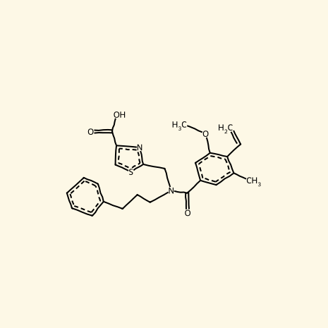 C=Cc1c(C)cc(C(=O)N(CCCc2ccccc2)Cc2nc(C(=O)O)cs2)cc1OC